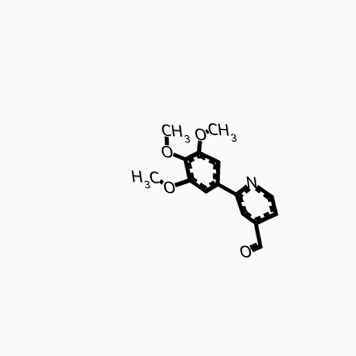 COc1cc(-c2cc(C=O)ccn2)cc(OC)c1OC